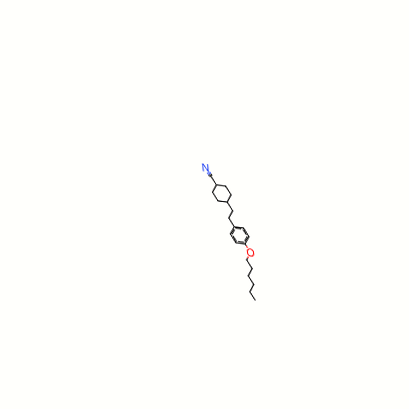 CCCCCCOc1ccc(CCC2CCC(C#N)CC2)cc1